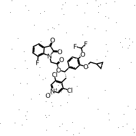 O=C(CN1C(=O)C(=O)c2cccc(F)c21)O[C@@H](Cc1c(Cl)c[n+]([O-])cc1Cl)c1ccc(OC(F)F)c(OCC2CC2)c1